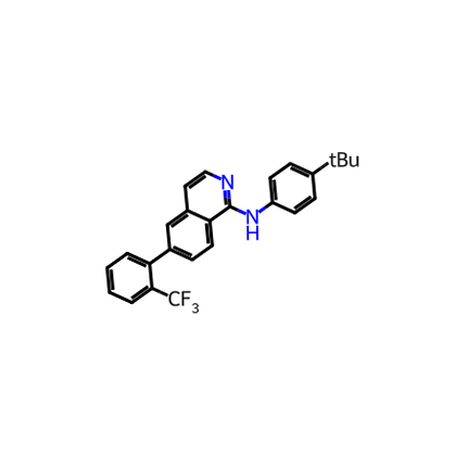 CC(C)(C)c1ccc(Nc2nccc3cc(-c4ccccc4C(F)(F)F)ccc23)cc1